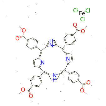 COC(=O)c1ccc(-c2c3nc(c(-c4ccc(C(=O)OC)cc4)c4ccc([nH]4)c(-c4ccc(C(=O)OC)cc4)c4nc(c(-c5ccc(C(=O)OC)cc5)c5ccc2[nH]5)C=C4)C=C3)cc1.[Cl][Fe]([Cl])[Cl]